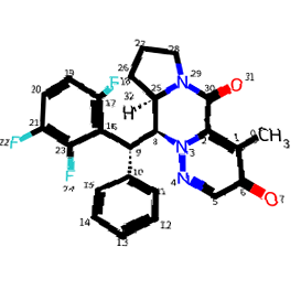 Cc1c2n(ncc1=O)[C@@H]([C@H](c1ccccc1)c1c(F)ccc(F)c1F)[C@H]1CCCN1C2=O